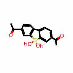 CC(=O)c1ccc2c(c1)S(O)(O)c1cc(C(C)=O)ccc1-2